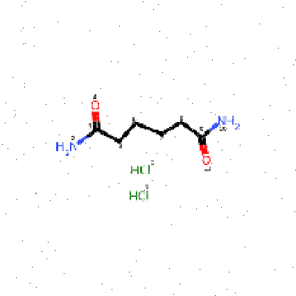 Cl.Cl.NC(=O)CCCCC(N)=O